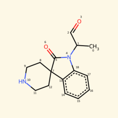 CC(C=O)N1C(=O)C2(CCNCC2)c2ccccc21